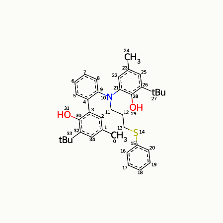 Cc1cc(-c2ccccc2N(CCCSc2ccccc2)c2cc(C)cc(C(C)(C)C)c2O)c(O)c(C(C)(C)C)c1